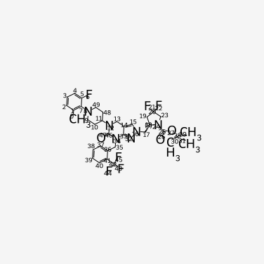 Cc1cccc(F)c1N1CCC(N2Cc3cn(C[C@H]4CC(F)(F)CN4C(=O)OC(C)(C)C)nc3N(Cc3ccccc3C(F)(F)F)C2=O)CC1